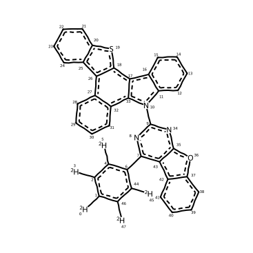 [2H]c1c([2H])c([2H])c(-c2nc(-n3c4ccccc4c4c5sc6ccccc6c5c5ccccc5c43)nc3oc4ccccc4c23)c([2H])c1[2H]